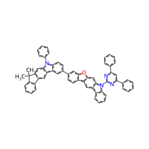 CC1(C)c2ccccc2-c2cc3c4cc(-c5ccc6c(c5)oc5cc7c(cc56)c5ccccc5n7-c5nc(-c6ccccc6)cc(-c6ccccc6)n5)ccc4n(-c4ccccc4)c3cc21